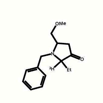 [2H]C1(CC)C(=O)CC(COC)N1Cc1ccccc1